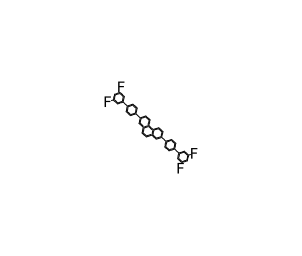 Fc1cc(F)cc(-c2ccc(-c3ccc4c(ccc5cc(-c6ccc(-c7cc(F)cc(F)c7)cc6)ccc54)c3)cc2)c1